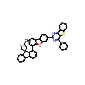 CCCC1(CC)c2ccccc2-c2cccc(-c3cccc4c3oc3cc(-c5nc(-c6ccccc6)c6sc7ccccc7c6n5)ccc34)c21